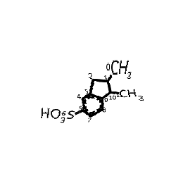 CC1Cc2cc(S(=O)(=O)O)ccc2C1C